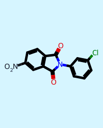 O=C1c2ccc([N+](=O)[O-])cc2C(=O)N1c1cccc(Cl)c1